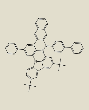 CC(C)(C)c1ccc2c(c1)c1cc(C(C)(C)C)cc3c1n2-c1cc(-c2ccccc2)cc2c1B3N(c1ccc(-c3ccccc3)cc1)c1cc3ccccc3cc1-2